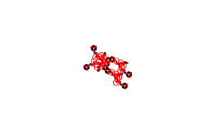 C=CC(=O)OC(COC(=O)/C=C/c1ccccc1)COc1ccc2ccc(OCC(COC(=O)/C=C/c3ccccc3)OC(=O)C=C)c(Cc3c(OCC(COC(=O)/C=C/c4ccccc4)OC(=O)C=C)ccc4ccc(OCC(COC(=O)/C=C/c5ccccc5)OC(=O)C=C)cc34)c2c1